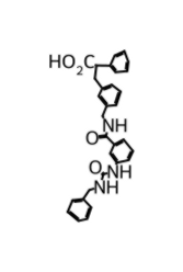 O=C(NCc1ccccc1)Nc1cccc(C(=O)NCc2cccc(CC(C(=O)O)c3ccccc3)c2)c1